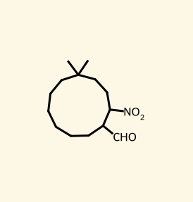 CC1(C)CCCCCCC(C=O)C([N+](=O)[O-])CC1